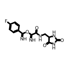 N=C(OC(=N)c1ccc(F)cc1)C(=O)NCC1NC(=O)NC1=O